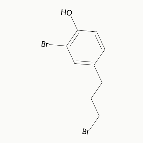 Oc1ccc(CCCBr)cc1Br